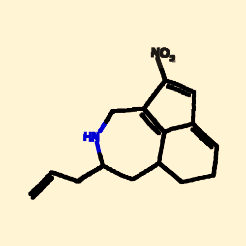 C=CCC1CC2CCC=C3C=C([N+](=O)[O-])C(=C32)CN1